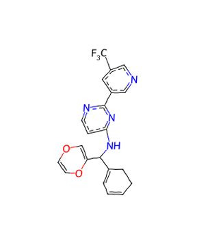 FC(F)(F)c1cncc(-c2nccc(NC(C3=CC=CCC3)C3=COC=CO3)n2)c1